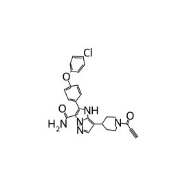 C#CC(=O)N1CCC(c2cnn3c(C(N)=O)c(-c4ccc(Oc5ccc(Cl)cc5)cc4)[nH]c23)CC1